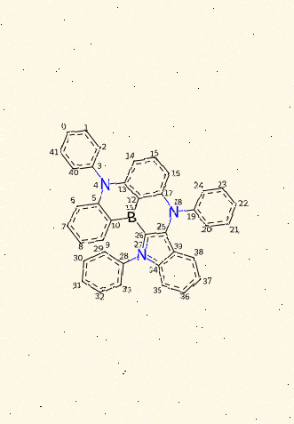 c1ccc(N2c3ccccc3B3c4c2cccc4N(c2ccccc2)c2c3n(-c3ccccc3)c3ccccc23)cc1